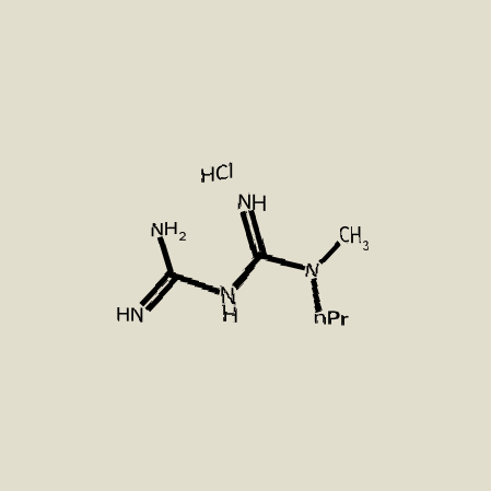 CCCN(C)C(=N)NC(=N)N.Cl